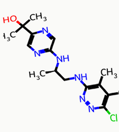 Cc1c(Cl)nnc(NC[C@@H](C)Nc2cnc(C(C)(C)O)cn2)c1C